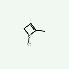 CCN1CC=C1C